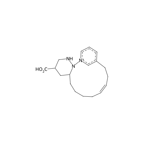 O=C(O)C1CNN2C(CCCC/C=C\CCc3ccc[n+]2c3)C1